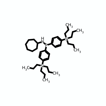 CCC[Si](CCC)(CCC)c1ccc(P(NC2CCCCCC2)c2ccc([Si](CCC)(CCC)CCC)cc2)cc1